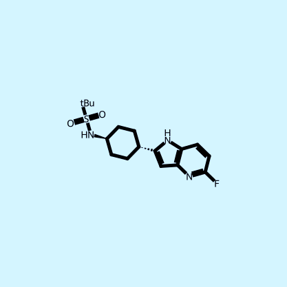 CC(C)(C)S(=O)(=O)N[C@H]1CC[C@H](c2cc3nc(F)ccc3[nH]2)CC1